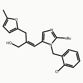 CCCCc1ncc(C=C(CO)Cc2ccc(C)o2)n1Cc1ccccc1Cl